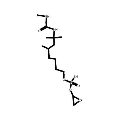 CC(CCCCOP(=O)(S)OC1CO1)CC(C)(C)NC(=O)BI